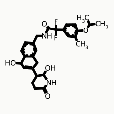 Cc1cc(C(F)(F)C(=O)NCc2ccc3c(c2)CC(C2CCC(=O)NC2O)=CC3O)ccc1OC(C)C